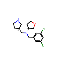 Clc1cc(Cl)cc(CN(C[C@H]2CCNC2)[C@@H]2CCOC2)c1